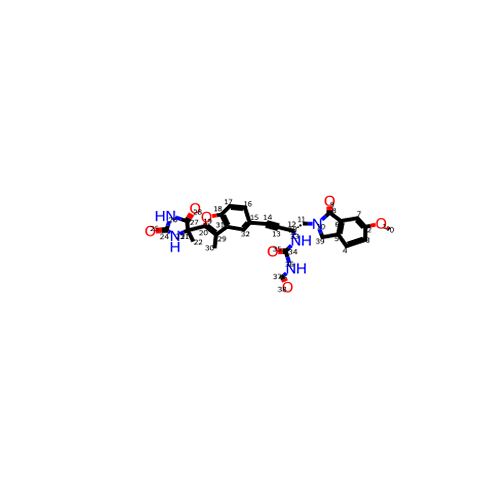 COc1ccc2c(c1)C(=O)N(C[C@@H](C#Cc1ccc3oc(C4(C)NC(=O)NC4=O)c(C)c3c1)NC(=O)NC=O)C2